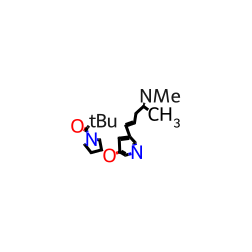 CN[C@@H](C)CC=Cc1cncc(O[C@@H]2CCN(C(=O)C(C)(C)C)C2)c1